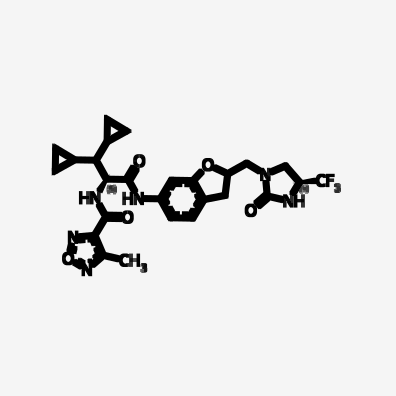 Cc1nonc1C(=O)N[C@H](C(=O)Nc1ccc2c(c1)OC(CN1C[C@@H](C(F)(F)F)NC1=O)C2)C(C1CC1)C1CC1